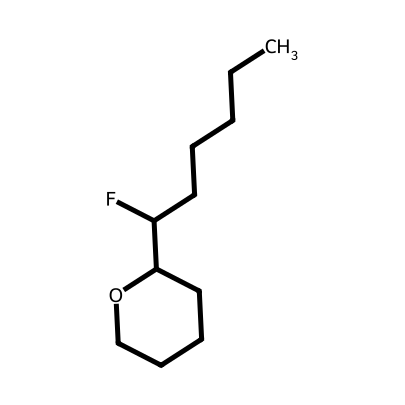 CCCCCC(F)C1CCCCO1